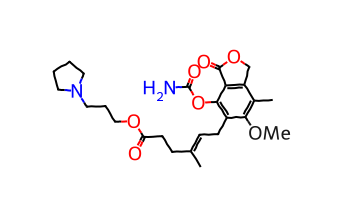 COc1c(C)c2c(c(OC(N)=O)c1C/C=C(\C)CCC(=O)OCCCN1CCCC1)C(=O)OC2